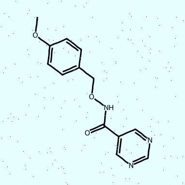 COc1ccc(CONC(=O)c2cncnc2)cc1